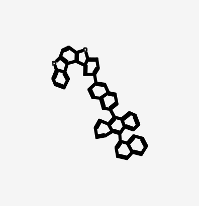 c1ccc2c(-c3c4ccccc4c(-c4ccc5cc(-c6ccc7oc8ccc9oc%10ccccc%10c9c8c7c6)ccc5c4)c4ccccc34)cccc2c1